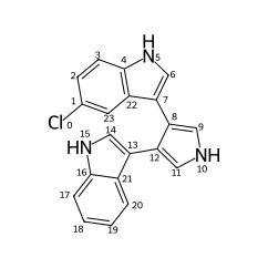 Clc1ccc2[nH]cc(-c3c[nH]cc3-c3c[nH]c4ccccc34)c2c1